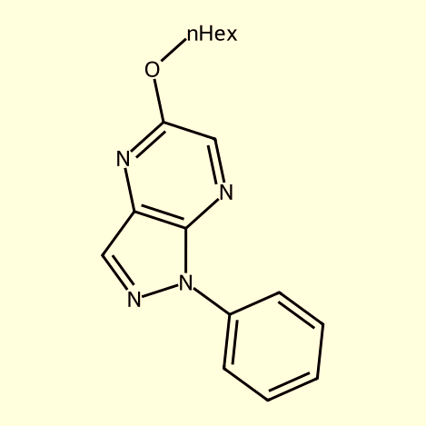 CCCCCCOc1cnc2c(cnn2-c2ccccc2)n1